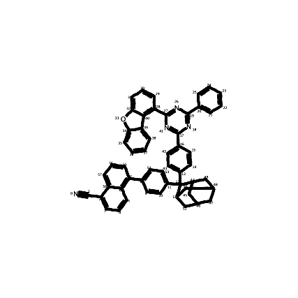 N#Cc1cccc2c(-c3ccc(C4(c5ccc(-c6nc(-c7ccccc7)nc(-c7cccc8oc9ccccc9c78)n6)cc5)C5CC6CC(C5)CC4C6)cc3)cccc12